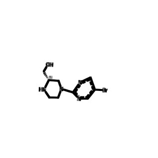 OC[C@@H]1CN(c2ncc(Br)cn2)CCN1